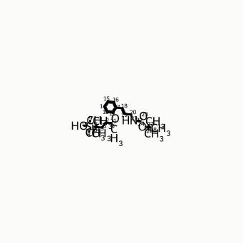 C[C@H](CCC(C)(C)[Si](C)(C)O)Oc1ccccc1/C=C/CNC(=O)OC(C)(C)C